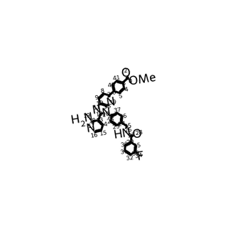 COC(=O)c1ccc(-c2ccc3nc(-c4cccnc4N)n(-c4ccc(CNC(=O)c5cccc(F)c5)cc4)c3n2)cc1